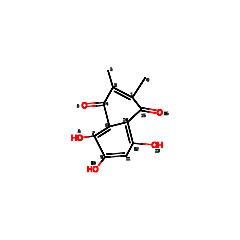 CC1=C(C)C(=O)c2c(O)c(O)cc(O)c2C1=O